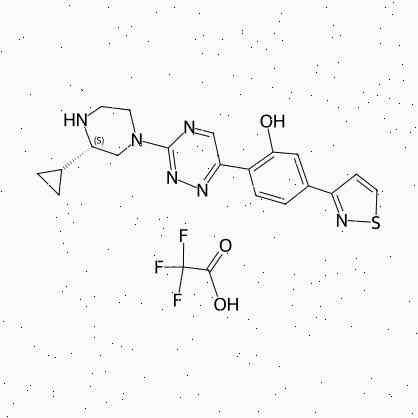 O=C(O)C(F)(F)F.Oc1cc(-c2ccsn2)ccc1-c1cnc(N2CCN[C@@H](C3CC3)C2)nn1